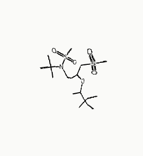 CC(OC(CN(C(C)(C)C)S(C)(=O)=O)CS(C)(=O)=O)C(C)(C)C